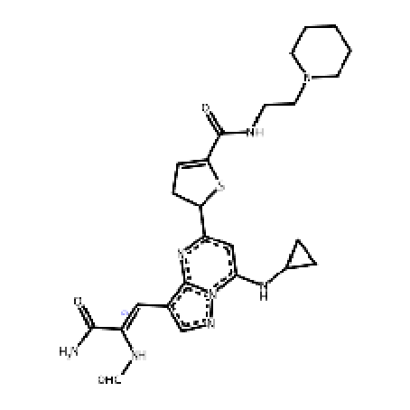 NC(=O)/C(=C/c1cnn2c(NC3CC3)cc(C3CC=C(C(=O)NCCN4CCCCC4)S3)nc12)NC=O